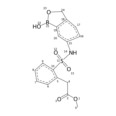 COC(=O)Cc1ccccc1S(=O)(=O)Nc1ccc2c(c1)B(O)OC2